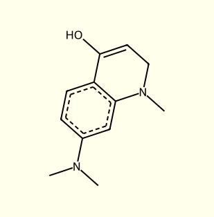 CN(C)c1ccc2c(c1)N(C)CC=C2O